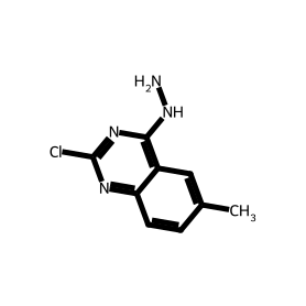 Cc1ccc2nc(Cl)nc(NN)c2c1